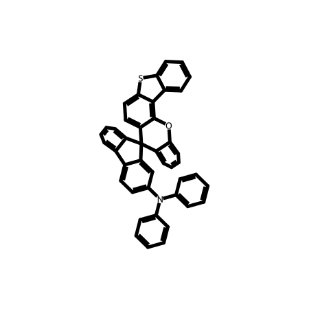 c1ccc(N(c2ccccc2)c2ccc3c(c2)C2(c4ccccc4Oc4c2ccc2sc5ccccc5c42)c2ccccc2-3)cc1